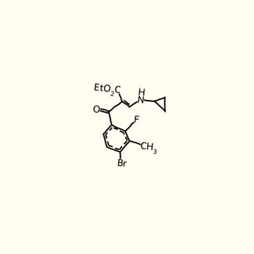 CCOC(=O)C(=CNC1CC1)C(=O)c1ccc(Br)c(C)c1F